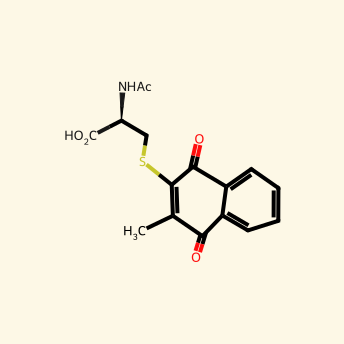 CC(=O)N[C@@H](CSC1=C(C)C(=O)c2ccccc2C1=O)C(=O)O